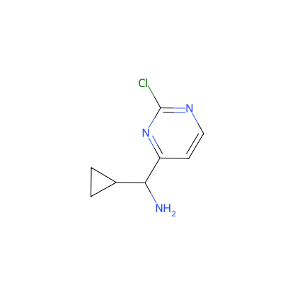 NC(c1ccnc(Cl)n1)C1CC1